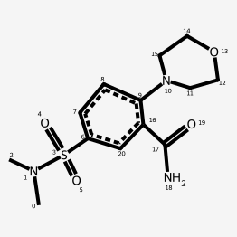 CN(C)S(=O)(=O)c1ccc(N2CCOCC2)c(C(N)=O)c1